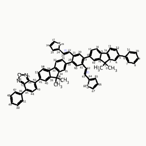 CC1(C)c2cc(-c3ccccc3)ccc2-c2ccc(-c3cc(/C=C/c4cccs4)c(-c4ccc5c(c4)C(C)(C)c4cc(-c6ccc(-c7ccccc7)c7nonc67)ccc4-5)cc3/C=C/c3cccs3)cc21